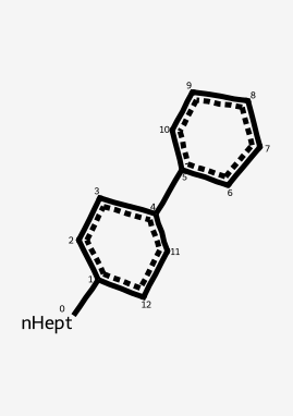 CCC[CH]CCCc1ccc(-c2ccccc2)cc1